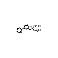 CCOC(=O)C1(C(=O)OCC)Cc2ccc(-c3ccccn3)cc2C1